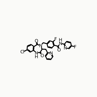 O=C(Nc1ccc(F)cn1)c1ccc(CN2C(=O)c3ccc(Cl)cc3NC(=O)C2Cc2ccccn2)cc1F